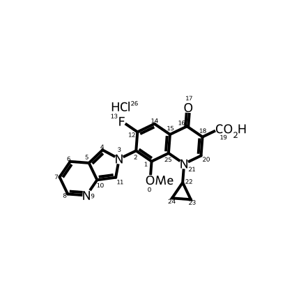 COc1c(-n2cc3cccnc3c2)c(F)cc2c(=O)c(C(=O)O)cn(C3CC3)c12.Cl